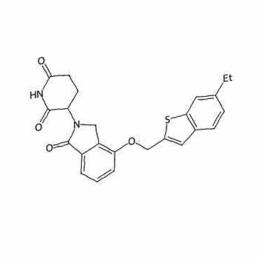 CCc1ccc2cc(COc3cccc4c3CN(C3CCC(=O)NC3=O)C4=O)sc2c1